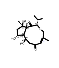 C/C1=C/C(=O)C[C@@](C)(O)[C@H]2[C@H](O)C[C@](C)(O)[C@@H]2C(=O)[C@H](C(C)C)CC1